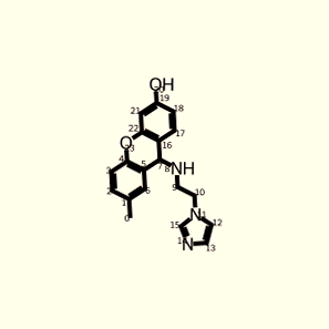 Cc1ccc2c(c1)C(NCCn1ccnc1)c1ccc(O)cc1O2